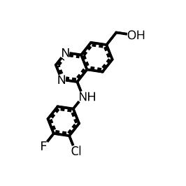 OCc1ccc2c(Nc3ccc(F)c(Cl)c3)ncnc2c1